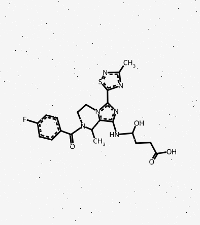 Cc1nsc(-c2nc(NC(O)CCC(=O)O)c3n2CCN(C(=O)c2ccc(F)cc2)C3C)n1